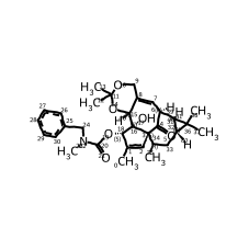 CC1=C[C@]23C(=O)[C@@H](C=C4COC(C)(C)O[C@H]4[C@]2(O)[C@H]1OC(=O)N(C)Cc1ccccc1)[C@H]1[C@@H](C[C@H]3C)C1(C)C